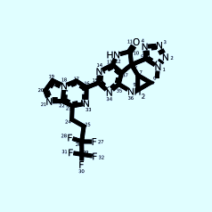 Cn1nnnc1C1(C2CC2)C(=O)Nc2nc(-c3cn4ccnc4c(CCC(F)(F)C(F)(F)F)n3)nc(N)c21